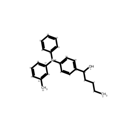 CCCCC(O)c1ccc(N(c2ccccc2)c2cccc(C)c2)cc1